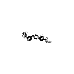 CCNS(=O)(=O)Nc1cc(CN2CCN(c3ccc(C(=O)NC)nc3C(F)(F)F)CC2)ccn1